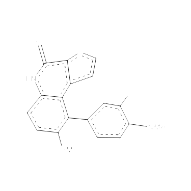 CNc1ccc(-c2c(OC)ccc3[nH]c(=O)c4sccc4c23)cc1C